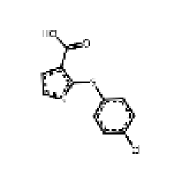 O=C(O)c1ccsc1Sc1ccc(Cl)cc1